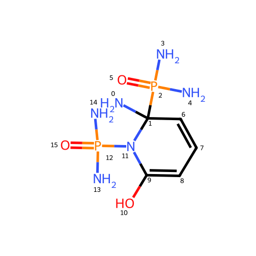 NC1(P(N)(N)=O)C=CC=C(O)N1P(N)(N)=O